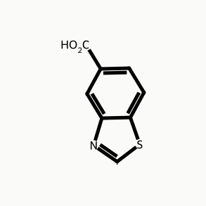 O=C(O)c1ccc2s[c]nc2c1